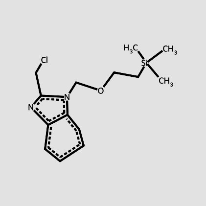 C[Si](C)(C)CCOCn1c(CCl)nc2ccccc21